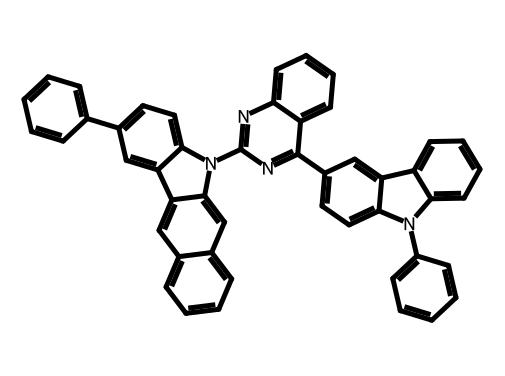 c1ccc(-c2ccc3c(c2)c2cc4ccccc4cc2n3-c2nc(-c3ccc4c(c3)c3ccccc3n4-c3ccccc3)c3ccccc3n2)cc1